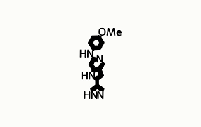 COc1ccc(Nc2cc3[nH]c(-c4cn[nH]c4)cc3cn2)cc1